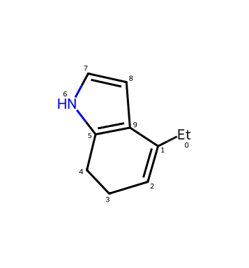 CCC1=CCCc2[nH]ccc21